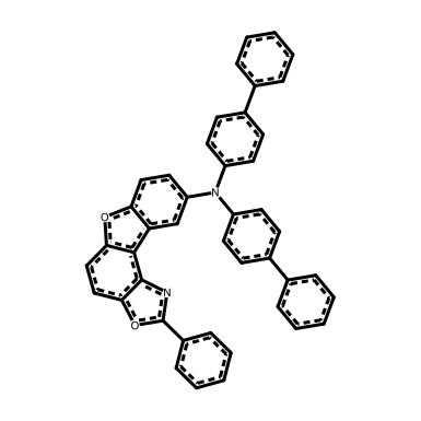 c1ccc(-c2ccc(N(c3ccc(-c4ccccc4)cc3)c3ccc4oc5ccc6oc(-c7ccccc7)nc6c5c4c3)cc2)cc1